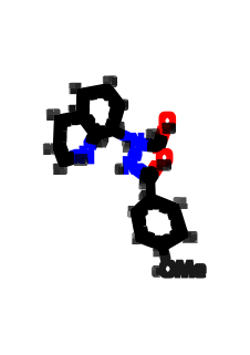 COc1ccc(-c2nn(-c3cccc4cccnc34)c(=O)o2)cc1